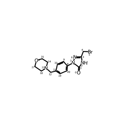 O=c1[nH]c(CBr)nn1-c1ccc(CN2CCOCC2)cc1